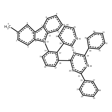 Cc1ccc2c(c1)c1ccccc1n2-c1cccc(-c2nc(-c3ccccc3)nc(-c3ccccc3)n2)c1-c1cccnc1